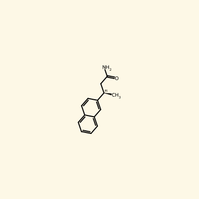 C[C@H](CC(N)=O)c1ccc2ccccc2c1